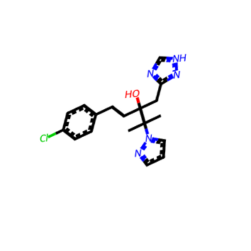 CC(C)(n1cccn1)C(O)(CCc1ccc(Cl)cc1)Cc1nc[nH]n1